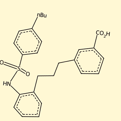 CCCCc1ccc(S(=O)(=O)Nc2ccccc2CCCc2cccc(C(=O)O)c2)cc1